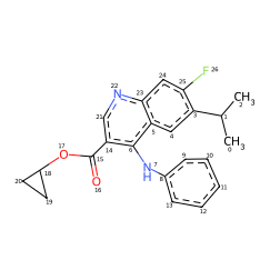 CC(C)c1cc2c(Nc3ccccc3)c(C(=O)OC3CC3)cnc2cc1F